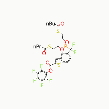 CCCCC(=O)SCCOP(OCCSC(=O)CCC)C(F)(F)c1ccc2sc(C(=O)Oc3c(F)c(F)c(F)c(F)c3F)cc2c1